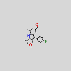 COCc1c(C(C)C)nc(C(C)C)c(C=CC=O)c1-c1ccc(F)cc1